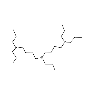 CCCP(CCC)CCCCP(CCC)CCCCP(CCC)CCC